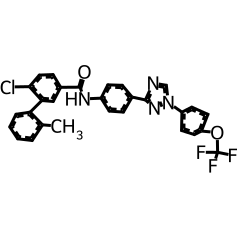 Cc1ccccc1-c1cc(C(=O)Nc2ccc(-c3ncn(-c4ccc(OC(F)(F)F)cc4)n3)cc2)ccc1Cl